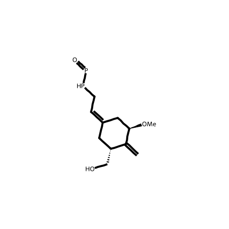 C=C1[C@H](CO)C/C(=C/CPP=O)C[C@H]1OC